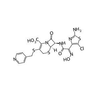 Nc1nc(/C(=N/O)C(=O)N[C@@H]2C(=O)N3C(C(=O)O)=C(SCc4ccncc4)CS[C@H]23)c(Cl)s1